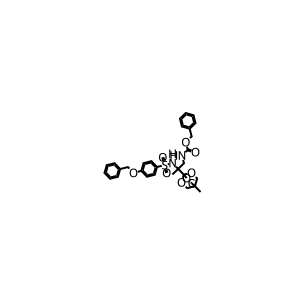 CC12COC(C(C)(CNC(=O)OCc3ccccc3)NS(=O)(=O)c3ccc(OCc4ccccc4)cc3)(OC1)OC2